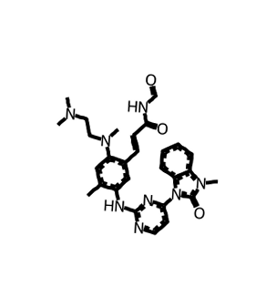 Cc1cc(N(C)CCN(C)C)c(C=CC(=O)NC=O)cc1Nc1nccc(-n2c(=O)n(C)c3ccccc32)n1